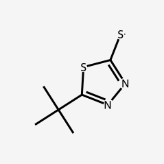 CC(C)(C)c1nnc([S])s1